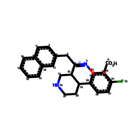 O=C(O)CO/N=C(/Cc1ccc2ccccc2c1)C1CNCCC1c1ccc(F)cc1